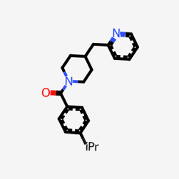 CC(C)c1ccc(C(=O)N2CCC(Cc3ccccn3)CC2)cc1